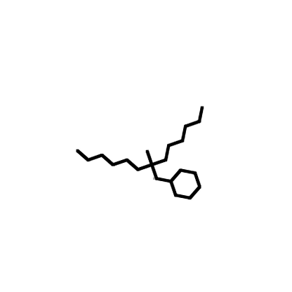 CCCCCCC(C)([CH]C1CCCCC1)CCCCCC